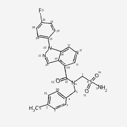 Cc1ccc(CN(CS(N)(=O)=O)C(=O)c2cncc3c2cnn3-c2ccc(F)cc2)cc1